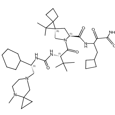 CN1CCN(C[C@@H](NC(=O)N[C@H](C(=O)N2C[C@]3(C[C@H]2C(=O)NC(CC2CCC2)C(=O)C(N)=O)C(C)(C)C32CCC2)C(C)(C)C)C2CCCCC2)CC12CC2